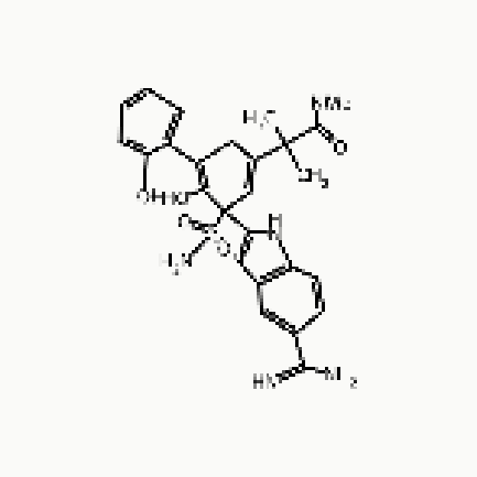 CNC(=O)C(C)(C)C1=CC(c2nc3cc(C(=N)N)ccc3[nH]2)(S(N)(=O)=O)C(O)=C(c2ccccc2O)C1